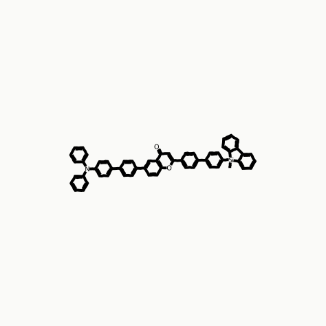 C[Si]1(c2ccc(-c3ccc(-c4cc(=O)c5cc(-c6ccc(-c7ccc(N(c8ccccc8)c8ccccc8)cc7)cc6)ccc5o4)cc3)cc2)c2ccccc2-c2ccccc21